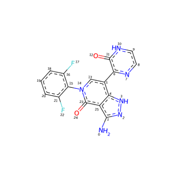 Nc1n[nH]c2c(-c3ncc[nH]c3=O)cn(-c3c(F)cccc3F)c(=O)c12